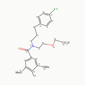 COc1cc(C(=O)N(CCCc2ccc(F)cc2)CCOCC(=O)O)cc(OC)c1C